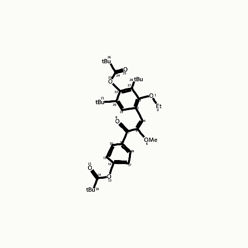 CCOc1c(C=C(OC)C(=O)c2ccc(OC(=O)C(C)(C)C)cc2)cc(C(C)(C)C)c(OC(=O)C(C)(C)C)c1C(C)(C)C